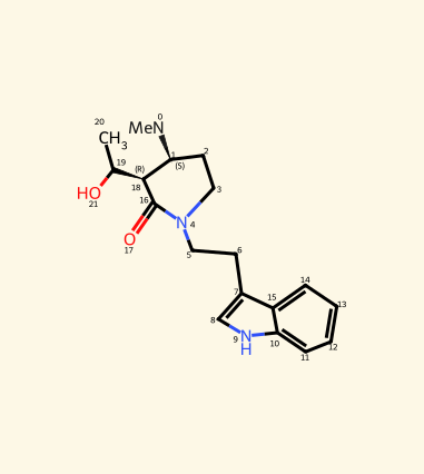 CN[C@H]1CCN(CCc2c[nH]c3ccccc23)C(=O)[C@H]1C(C)O